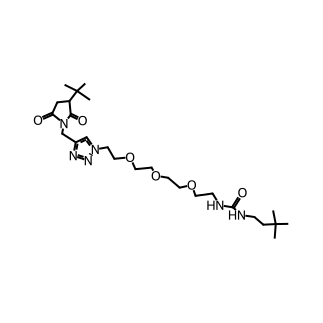 CC(C)(C)CCNC(=O)NCCOCCOCCOCCn1cc(CN2C(=O)CC(C(C)(C)C)C2=O)nn1